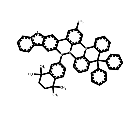 Cc1cc2c3c(c1)N1c4ccccc4C(c4ccccc4)(c4ccccc4)c4cccc(c41)B3N(c1ccc3c(c1)C(C)(C)CCC3(C)C)c1cc3c(cc1-2)sc1ccccc13